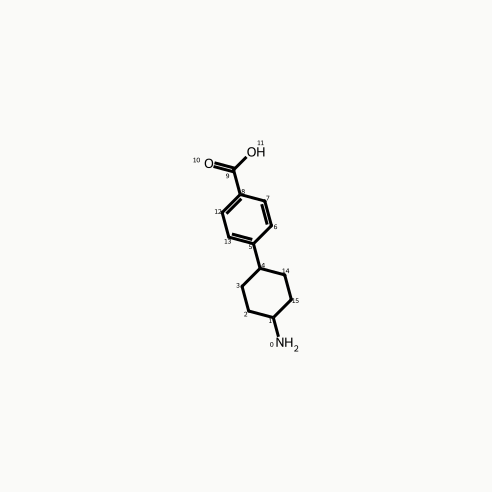 NC1CCC(c2ccc(C(=O)O)cc2)CC1